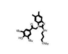 COCCCNc1nc2cc(C)c(C)cc2n1CC(=O)c1cc(C(C)(C)C)c(O)c(C(C)(C)C)c1